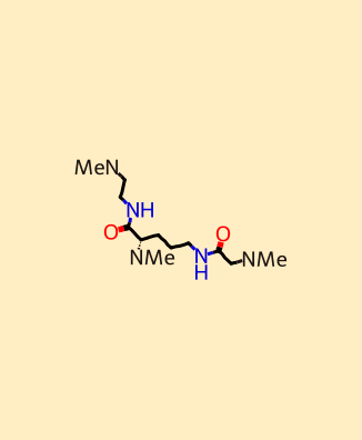 CNCCNC(=O)[C@H](CCCNC(=O)CNC)NC